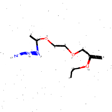 C=C(COCCOC(C)N=[N+]=[N-])OCC